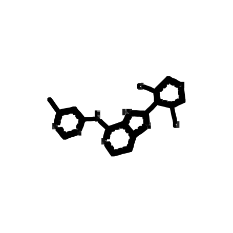 Cc1cc(Nc2nccc3nc(-c4c(Cl)cncc4Cl)[nH]c23)ncn1